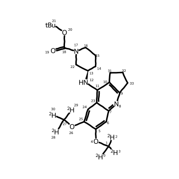 [2H]C([2H])([2H])Oc1cc2nc3c(c(N[C@@H]4CCCN(C(=O)OC(C)(C)C)C4)c2cc1OC([2H])([2H])[2H])CCC3